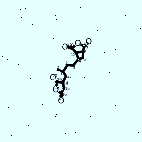 CC(CCC1CC2C(=O)OC(=O)C12)CC1CC(=O)OC1=O